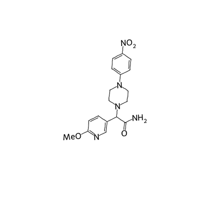 COc1ccc(C(C(N)=O)N2CCN(c3ccc([N+](=O)[O-])cc3)CC2)cn1